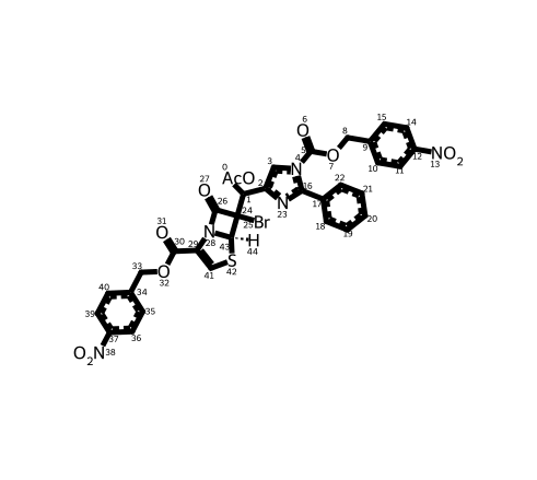 CC(=O)OC(c1cn(C(=O)OCc2ccc([N+](=O)[O-])cc2)c(-c2ccccc2)n1)C1(Br)C(=O)N2C(C(=O)OCc3ccc([N+](=O)[O-])cc3)=CS[C@@H]21